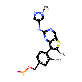 COc1cc(COPI)ccc1-c1c(C)sc2cnc(Nc3cnn(C)c3)nc12